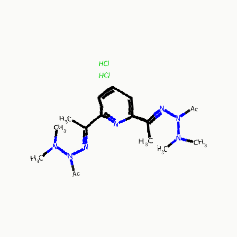 CC(=O)N(N=C(C)c1cccc(C(C)=NN(C(C)=O)N(C)C)n1)N(C)C.Cl.Cl